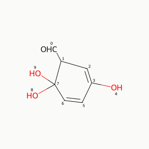 O=CC1C=C(O)C=CC1(O)O